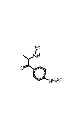 CCNC(C)C(=O)c1ccc(NC(C)=O)cc1